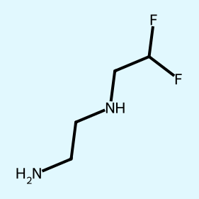 NCCNCC(F)F